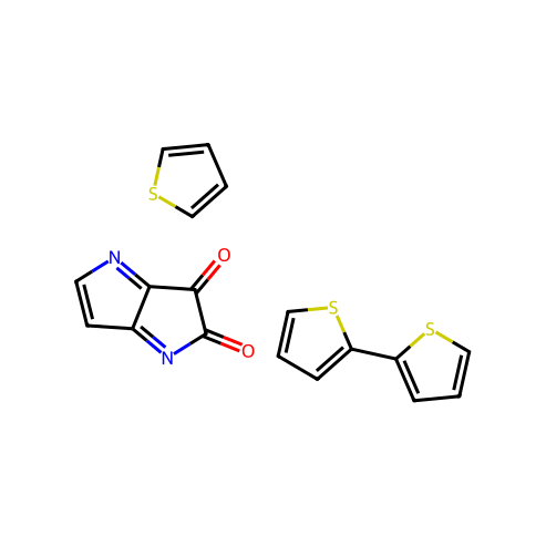 O=c1nc2ccnc-2c1=O.c1ccsc1.c1csc(-c2cccs2)c1